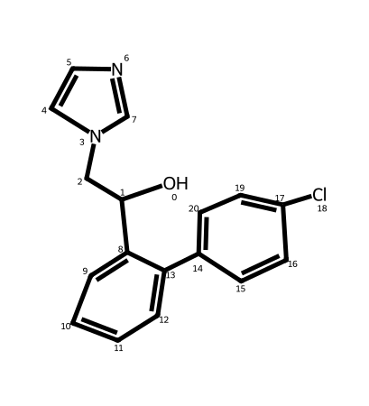 OC(Cn1ccnc1)c1ccccc1-c1ccc(Cl)cc1